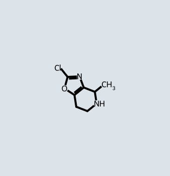 CC1NCCc2oc(Cl)nc21